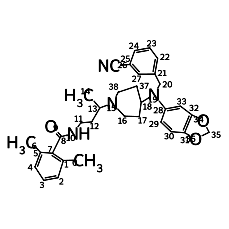 Cc1cccc(C)c1C(=O)NCCC(C)N1CCC(N(Cc2cccc(C#N)c2)c2ccc3c(c2)OCO3)CC1